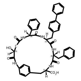 O=C1C[C@@H](O)C(=O)Nc2ccc(cc2)C[C@@H](C(=O)O)NC(=O)[C@@H](Cc2ccccc2)NC(=O)[C@H](Cc2ccc(-c3ccccc3)cc2)NC(=O)[C@@H](c2ccccc2)N1